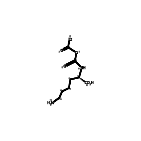 CCC(=O)OC(=O)N[C@@H](CCCCN)C(=O)O